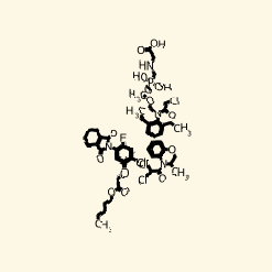 CC1COc2ccccc2N1C(=O)C(Cl)Cl.CCCCCOC(=O)COc1cc(N2C(=O)C3=C(CCCC3)C2=O)c(F)cc1Cl.CCc1cccc(CC)c1N(COC)C(=O)CCl.O=C(O)CNCP(=O)(O)O